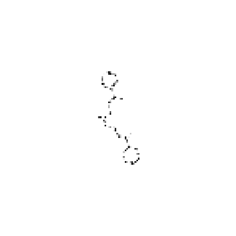 C/C(S/C=C(\C)c1ccccc1)=C(\C)S/C=C(\C)c1ccccc1